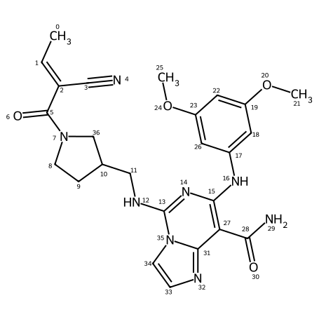 C/C=C(\C#N)C(=O)N1CCC(CNc2nc(Nc3cc(OC)cc(OC)c3)c(C(N)=O)c3nccn23)C1